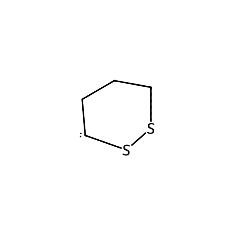 [C]1CCCSS1